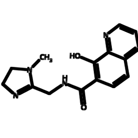 CN1CCN=C1CNC(=O)c1ccc2cccnc2c1O